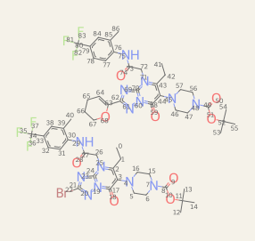 CCc1c(N2CCN(C(=O)OC(C)(C)C)CC2)c(=O)n2nc(Br)nc2n1CC(=O)Nc1ccc(C(F)(F)F)cc1C.CCc1c(N2CCN(C(=O)OC(C)(C)C)CC2)c(=O)n2nc(C3=CCCCO3)nc2n1CC(=O)Nc1ccc(C(F)(F)F)cc1C